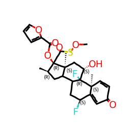 COSC(=O)[C@@]1(OC(=O)c2ccco2)[C@H](C)CC2C3C[C@H](F)C4=CC(=O)C=C[C@]4(C)[C@@]3(F)[C@@H](O)C[C@@]21C